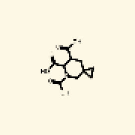 O=C(O)C1CC2(CC2)CN(C(=O)O)C1C(=O)O